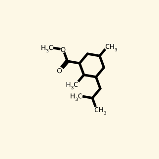 COC(=O)[C]1CC(C)CC(CC(C)C)C1C